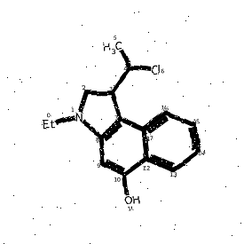 CCN1CC(C(C)Cl)c2c1cc(O)c1ccccc21